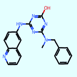 CN(Cc1ccccc1)c1nc(O)nc(Nc2ccc3ncccc3c2)n1